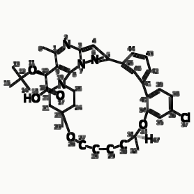 Cc1nc2cc3nn2c(c1[C@H](OC(C)(C)C)C(=O)O)N1CCC(C)(CC1)OCCCC[C@H](C)Oc1cc(Cl)ccc1-c1cccc-3c1